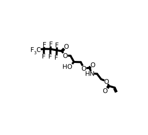 C=CC(=O)OCCNC(=O)OCC(O)COC(=O)C(F)(F)C(F)(F)C(F)(F)C(F)(F)F